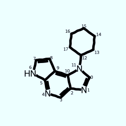 [c]1nc2cnc3[nH]ccc3c2n1C1CCCCC1